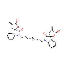 C=C1CC2(OC1=O)C(=O)N(CC/C=C/CCCN1C(=O)C3(CC(=C)C(=O)O3)c3ccccc31)c1ccccc12